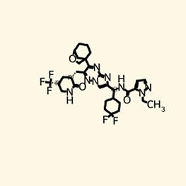 CCn1nccc1C(=O)N[C@H](c1cn2nc(C[C@H]3C[C@@H](C(F)(F)F)CNC3=O)c(C34CCCC(C3)OC4)nc2n1)C1CCC(F)(F)CC1